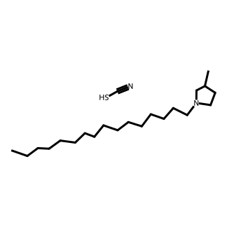 CCCCCCCCCCCCCCCCN1CCC(C)C1.N#CS